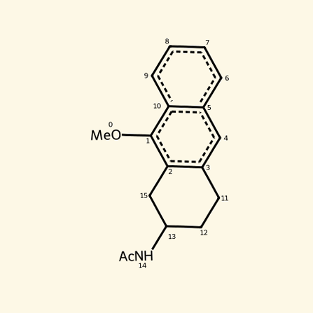 COc1c2c(cc3ccccc13)CCC(NC(C)=O)C2